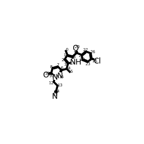 Cc1cc(C(C)c2ccc(=O)n(CCC#N)n2)[nH]c1C(=O)c1ccc(Cl)cc1